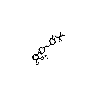 CN(C)C(=O)N[C@H]1CC[C@H](CCN2CCN(c3cccc(Cl)c3Cl)[C@@H](C(F)(F)F)C2)CC1